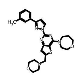 Cc1cccc(-c2ccn(-c3nc(N4CCCOCC4)c4sc(CN5CCOCC5)cc4n3)n2)c1